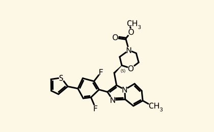 COC(=O)N1CCO[C@@H](Cc2c(-c3c(F)cc(-c4cccs4)cc3F)nc3cc(C)ccn23)C1